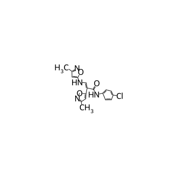 Cc1cc(NC=C(C(=O)Nc2ccc(Cl)cc2)c2cc(C)no2)on1